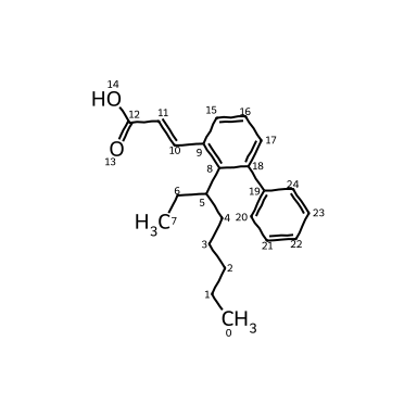 CCCCCC(CC)c1c(C=CC(=O)O)cccc1-c1ccccc1